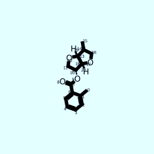 Cc1ccccc1C(=O)O[C@@H]1CO[C@@H]2C(C)CO[C@@H]21